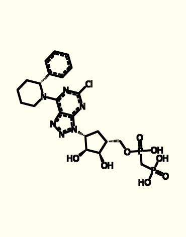 O=P(O)(O)CP(=O)(O)OC[C@H]1C[C@@H](n2nnc3c(N4CCCC[C@@H]4c4ccccc4)nc(Cl)nc32)[C@H](O)[C@@H]1O